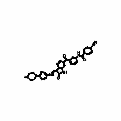 CN1CCN(c2ccc(NC=C3C(=O)Nc4cc(C(=O)c5cccc(NC(=O)c6ccc(C#N)cc6)c5)ccc43)cc2)CC1